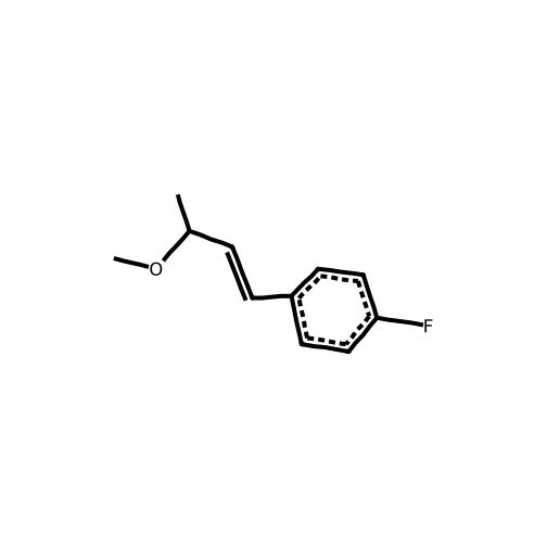 COC(C)/C=C/c1ccc(F)cc1